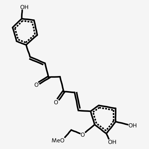 COCOc1c(C=CC(=O)CC(=O)C=Cc2ccc(O)cc2)ccc(O)c1O